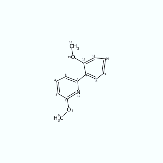 COc1c[c]cc(-c2ccccc2OC)n1